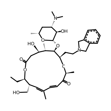 CC[C@H]1OC(=O)C[C@@H](O)[C@H](C)[C@@H](O[C@@H]2O[C@H](C)C[C@H](N(C)C)[C@H]2O)[C@@H](CCN2Cc3ccccc3C2)C[C@@H](C)C(=O)/C=C/C(C)=C/[C@@H]1CO